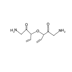 C=CC(OC(C=C)C(=O)CN)C(=O)CN